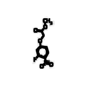 COC(=O)COc1ccc([N+](=O)[O-])c(F)c1